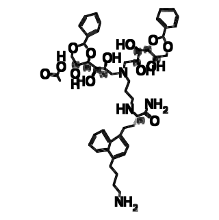 CC(=O)O.NCCCCc1ccc(CC[C@H](NCCCN(C[C@H](O)[C@@H](O)[C@@H]2OC(c3ccccc3)OC[C@H]2O)C[C@H](O)[C@@H](O)[C@@H]2OC(c3ccccc3)OC[C@H]2O)C(N)=O)c2ccccc12